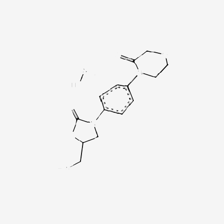 NCC1CN(c2ccc(N3CCOCC3=O)cc2)C(=O)O1.O=[N+]([O-])O